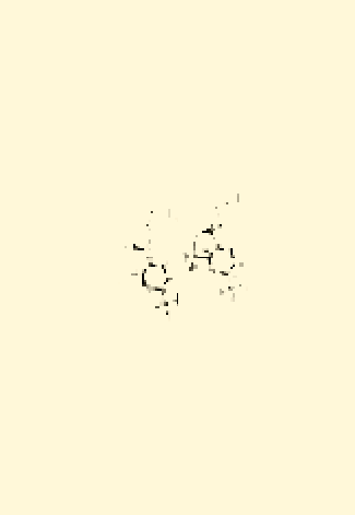 CCOC(=O)c1ccc(C(F)(F)F)nc1C.CCOC(=O)c1ccc(C(F)(F)F)nc1C(F)(F)F